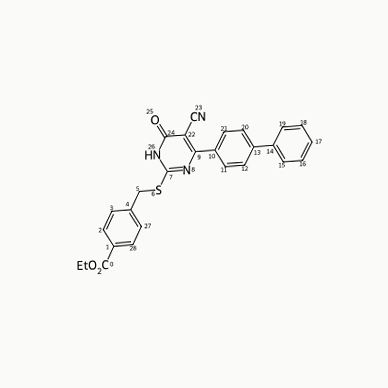 CCOC(=O)c1ccc(CSc2nc(-c3ccc(-c4ccccc4)cc3)c(C#N)c(=O)[nH]2)cc1